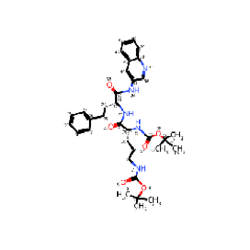 CC(C)(C)OC(=O)NCCC[C@@H](NC(=O)OC(C)(C)C)C(=O)N[C@H](CCc1ccccc1)C(=O)Nc1cnc2ccccc2c1